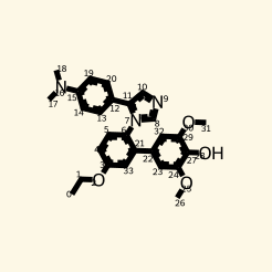 CCOc1ccc(-n2cncc2-c2ccc(N(C)C)cc2)c(-c2cc(OC)c(O)c(OC)c2)c1